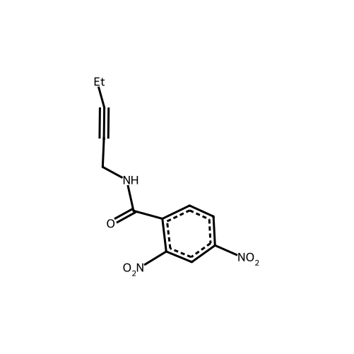 CCC#CCNC(=O)c1ccc([N+](=O)[O-])cc1[N+](=O)[O-]